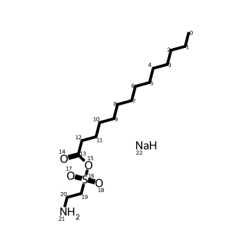 CCCCCCCCCCCCCC(=O)OS(=O)(=O)CCN.[NaH]